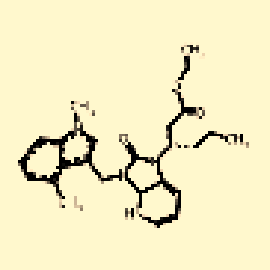 CCC[C@@H](CC(=O)OCC)N1C(=O)N(Cc2cn(C)c3cccc(C)c23)C2NC=CC=C21